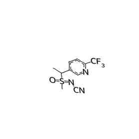 CC(c1ccc(C(F)(F)F)nc1)S(C)(=O)=NC#N